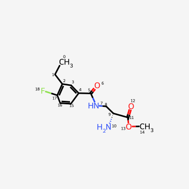 CCc1cc(C(=O)NC[C@@H](N)C(=O)OC)ccc1F